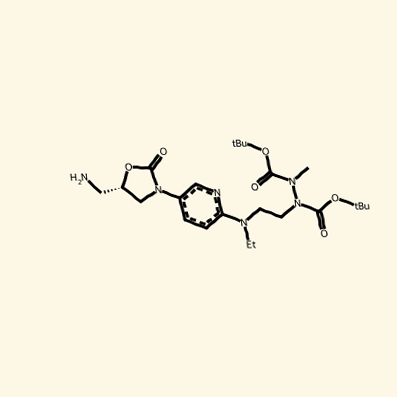 CCN(CCN(C(=O)OC(C)(C)C)N(C)C(=O)OC(C)(C)C)c1ccc(N2C[C@H](CN)OC2=O)cn1